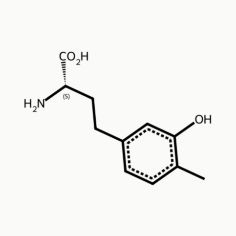 Cc1ccc(CC[C@H](N)C(=O)O)cc1O